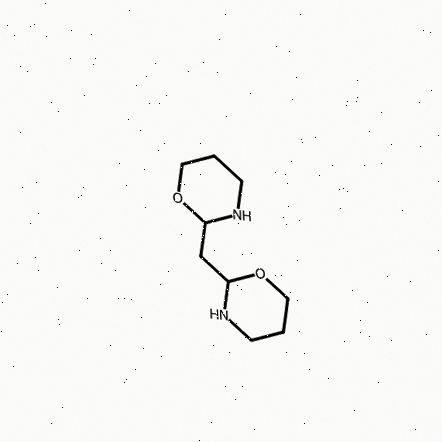 C1CNC(CC2NCCCO2)OC1